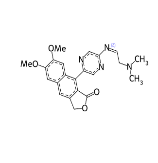 COc1cc2cc3c(c(-c4cnc(/N=C\CN(C)C)cn4)c2cc1OC)C(=O)OC3